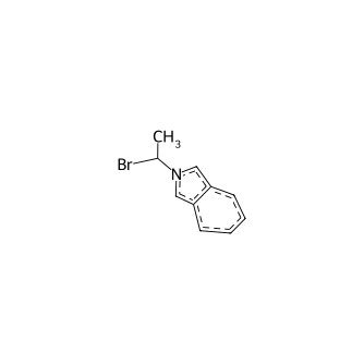 CC(Br)n1cc2ccccc2c1